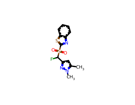 Cc1cc(C(F)S(=O)(=O)c2nc3ccccc3s2)nn1C